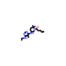 C=CCCC(=O)N1C[C@H](Nc2ncnc(NCC)c2C)CCC1(C)C